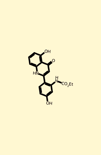 CCOC(=O)Nc1cc(O)ccc1-c1cc(=O)c2c(O)cccc2[nH]1